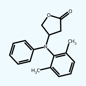 Cc1cccc(C)c1N(c1ccccc1)C1COC(=O)C1